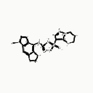 C[C@H]1CCc2c1cc1c(c2NC(=O)N=S(N)(=O)c2cnn3c2OCCC3)CCC1